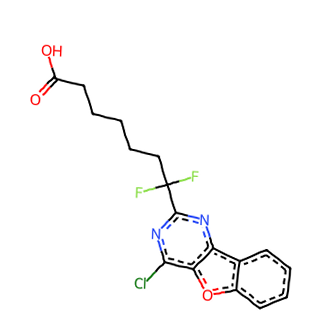 O=C(O)CCCCCC(F)(F)c1nc(Cl)c2oc3ccccc3c2n1